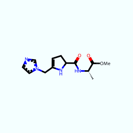 COC(=O)[C@H](C)NC(=O)C1CC=C(Cn2ccnc2)N1